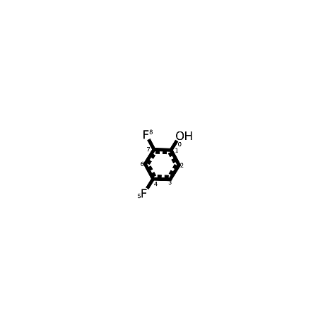 Oc1[c]cc(F)cc1F